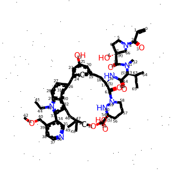 C=CC(=O)N1CC[C@](O)(C(=O)N(C)[C@H](C(=O)N[C@H]2Cc3cc(O)cc(c3)-c3ccc4c(c3)c(c(-c3cnccc3COC)n4CC)CC(C)(C)COC(=O)[C@@]3(O)CCCN(N3)C2=O)C(C)C)C1